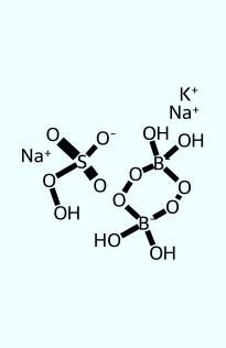 O=S(=O)([O-])OO.O[B-]1(O)OO[B-](O)(O)OO1.[K+].[Na+].[Na+]